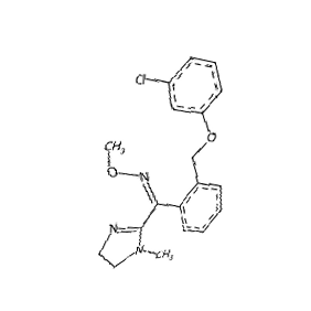 CON=C(C1=NCCN1C)c1ccccc1COc1cccc(Cl)c1